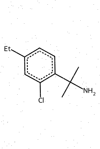 CCc1ccc(C(C)(C)N)c(Cl)c1